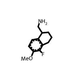 COc1ccc2c(c1F)CCCC2CN